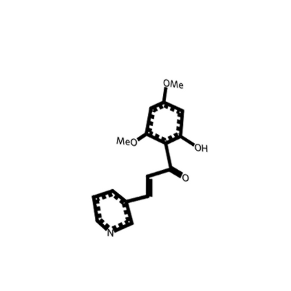 COc1cc(O)c(C(=O)C=Cc2cccnc2)c(OC)c1